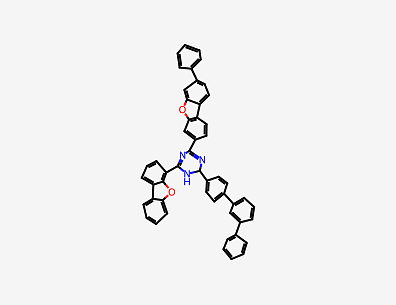 c1ccc(-c2cccc(-c3ccc(C4N=C(c5ccc6c(c5)oc5cc(-c7ccccc7)ccc56)N=C(c5cccc6c5oc5ccccc56)N4)cc3)c2)cc1